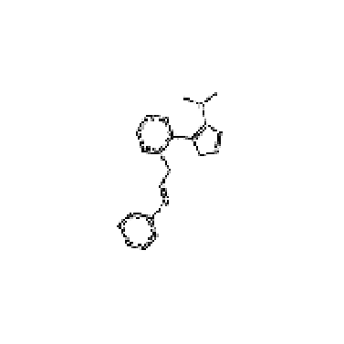 CN(C)C1=C(c2ccccc2CC=Nc2ccccc2)CC=C1